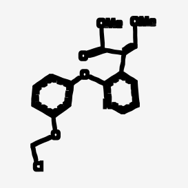 CO/C=C(\C(=O)OC)c1cccnc1Oc1cccc(OCCl)c1